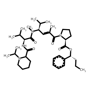 CCC[C@@H](OC(=O)[C@@H]1CCCN1C(=O)/C(C)=C/[C@H](C(C)C)N(C)C(=O)[C@@H](NC(=O)C1CCCCN1C(C)C)C(C)C)c1ccccc1